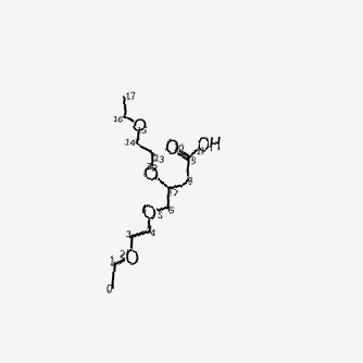 CCOCCOCC(CC(=O)O)OCCOCC